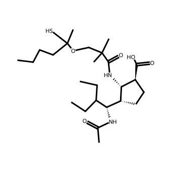 CCCCC(C)(S)OCC(C)(C)C(=O)N[C@H]1[C@@H]([C@H](NC(C)=O)C(CC)CC)CC[C@@H]1C(=O)O